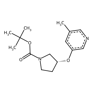 Cc1cncc(O[C@@H]2CCN(C(=O)OC(C)(C)C)C2)c1